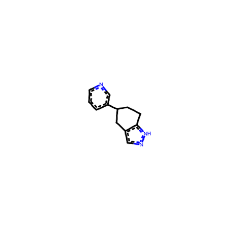 c1cncc(C2CCc3[nH]ncc3C2)c1